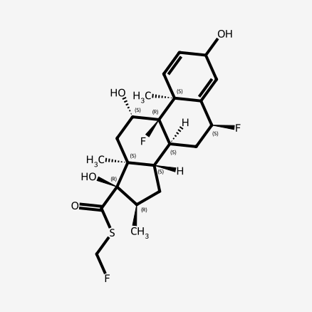 C[C@@H]1C[C@H]2[C@@H]3C[C@H](F)C4=CC(O)C=C[C@]4(C)[C@@]3(F)[C@@H](O)C[C@]2(C)[C@@]1(O)C(=O)SCF